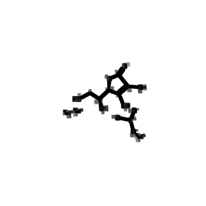 O=C1O[C@H]([C@@H](O)CO)C(O)=C1O.[Na+].[Na+].[Na+].[O-]P([O-])[O-]